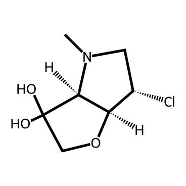 CN1C[C@H](Cl)[C@H]2OCC(O)(O)[C@H]21